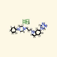 Cl.Cl.c1ccc(N2CCN(CCCn3ccc4ccc(-n5cnnc5)cc43)CC2)cc1